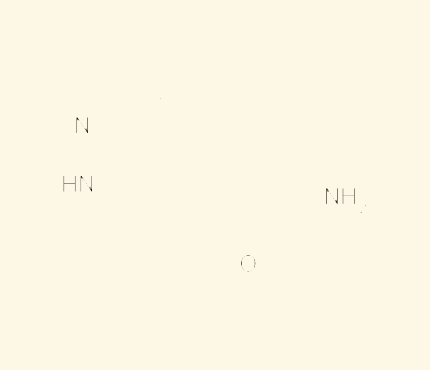 NC(=O)Cc1[c]n[nH]c1